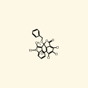 CCn1c(C)c(C2(OCc3ccccc3)OC(=O)c3c(Cl)c(Cl)c(Cl)c(Cl)c32)c2ccccc21